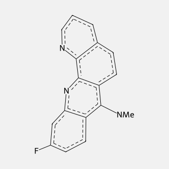 CNc1c2ccc(F)cc2nc2c1ccc1cccnc12